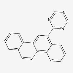 c1ccc2c(c1)ccc1c3ccccc3c(-c3ncncn3)cc21